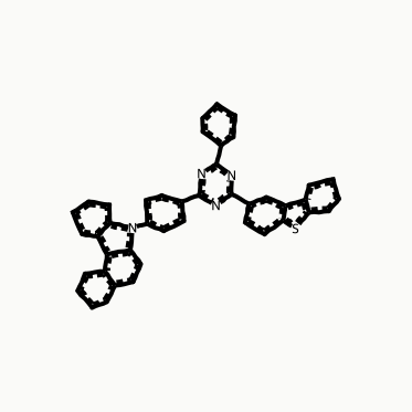 c1ccc(-c2nc(-c3ccc(-n4c5ccccc5c5c6ccccc6ccc54)cc3)nc(-c3ccc4sc5ccccc5c4c3)n2)cc1